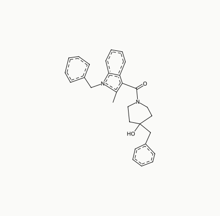 Cc1c(C(=O)N2CCC(O)(Cc3ccccc3)CC2)c2ccccc2n1Cc1ccccc1